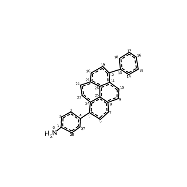 Nc1ccc(-c2ccc3ccc4c(-c5ccccc5)ccc5ccc2c3c54)cc1